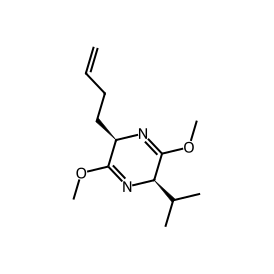 C=CCC[C@H]1N=C(OC)[C@@H](C(C)C)N=C1OC